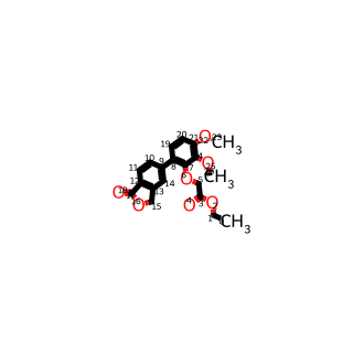 CCOC(=O)COc1c(-c2ccc3c(c2)COC3=O)ccc(OC)c1OC